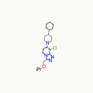 CC(C)OCc1nnc2c(Cl)c(N3CCC(c4ccccc4)CC3)ccn12